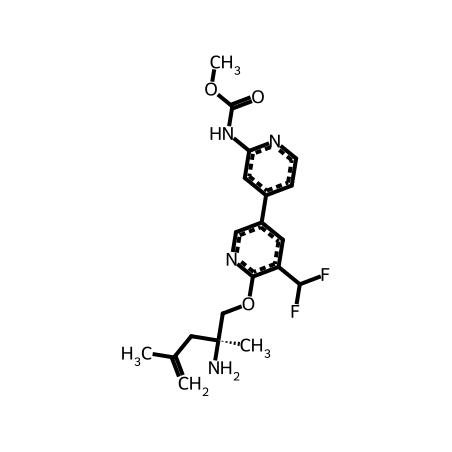 C=C(C)C[C@](C)(N)COc1ncc(-c2ccnc(NC(=O)OC)c2)cc1C(F)F